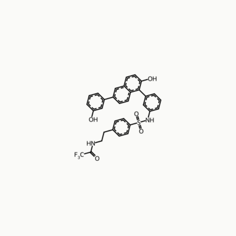 O=C(NCCc1ccc(S(=O)(=O)Nc2cccc(-c3c(O)ccc4cc(-c5cccc(O)c5)ccc34)c2)cc1)C(F)(F)F